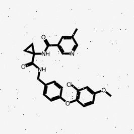 COc1ccc(Oc2ccc(CNC(=O)C3(NC(=O)c4cncc(C)c4)CC3)cc2)c(Cl)c1